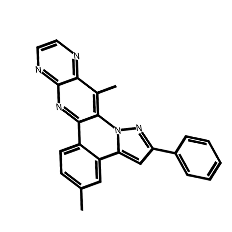 Cc1ccc2c(c1)c1cc(-c3ccccc3)nn1c1c(C)c3nccnc3nc21